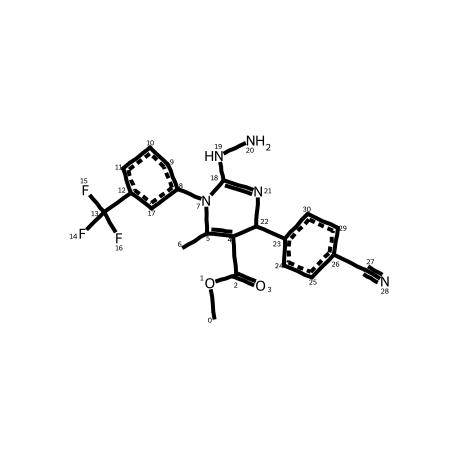 COC(=O)C1=C(C)N(c2cccc(C(F)(F)F)c2)C(NN)=NC1c1ccc(C#N)cc1